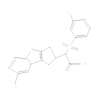 COC(=O)C(C1Cc2[nH]c3ccc(Cl)cc3c2C1)S(=O)(=O)c1cccc(Br)c1